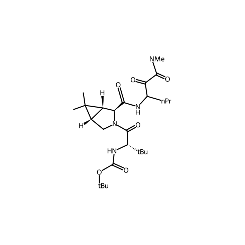 CCCC(NC(=O)[C@@H]1[C@@H]2[C@H](CN1C(=O)[C@@H](NC(=O)OC(C)(C)C)C(C)(C)C)C2(C)C)C(=O)C(=O)NC